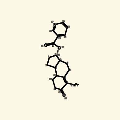 CCCC1=C2CCC3C(CC[C@@H]3OC(=O)c3cccnc3)C2CCC1=O